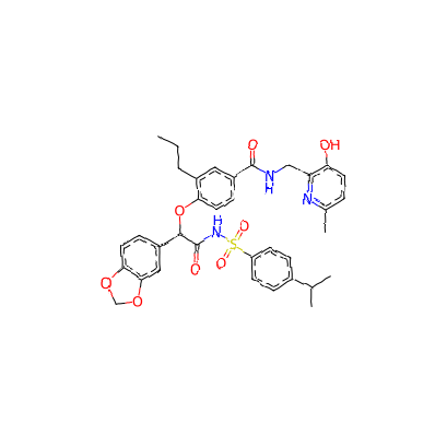 CCCc1cc(C(=O)NCc2nc(C)ccc2O)ccc1OC(C(=O)NS(=O)(=O)c1ccc(C(C)C)cc1)c1ccc2c(c1)OCO2